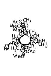 CON=C1C[C@@H](C)O[C@@H](O[C@@H]2[C@@H](C)[C@H](O[C@H]3C[C@H](C)N(C)C[C@H](C)O3)[C@@H](C)C(=O)O[C@H]([C@@H](C)CO[C@@H]3O[C@H](C)[C@@H](OC(C)=O)[C@@H](OC)[C@H]3OC)[C@H](C)[C@@H](OC(=O)CC(C)C)[C@@H](C)C(=O)[C@@](C)(OC(=O)NCCc3ccncc3)C[C@@H]2C)[C@@H]1OC(C)=O